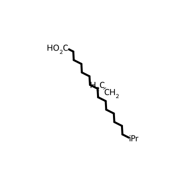 C=C.CC(C)CCCCCCCCCCCCCCC(=O)O